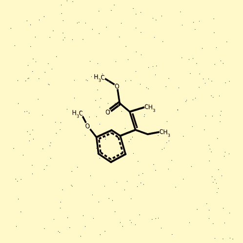 CCC(=C(C)C(=O)OC)c1cccc(OC)c1